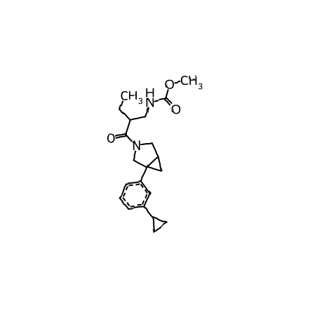 CCC(CNC(=O)OC)C(=O)N1CC2CC2(c2cccc(C3CC3)c2)C1